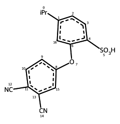 CC(C)c1ccc(S(=O)(=O)O)c(Oc2ccc(C#N)c(C#N)c2)c1